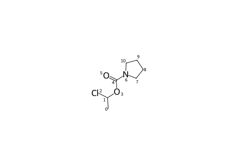 CC(Cl)OC(=O)N1CCCC1